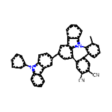 Cc1cccc(C)c1-n1c2ccccc2c2cc(-c3ccc4c(c3)c3ccccc3n4-c3ccccc3)cc(-c3ccc(C#N)c(C#N)c3)c21